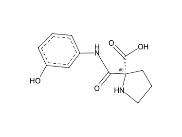 O=C(O)[C@]1(C(=O)Nc2cccc(O)c2)CCCN1